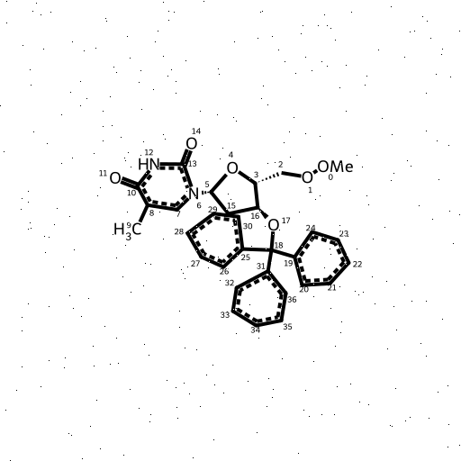 COOC[C@H]1O[C@@H](n2cc(C)c(=O)[nH]c2=O)C[C@@H]1OC(c1ccccc1)(c1ccccc1)c1ccccc1